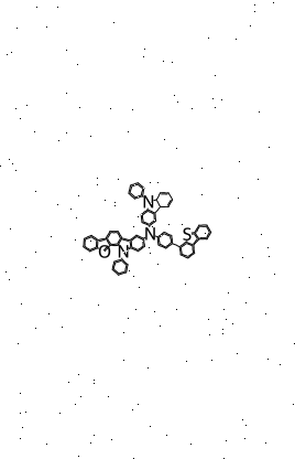 C1=CC2c3cc(N(c4ccc(-c5cccc6c5sc5ccccc56)cc4)c4ccc5c(c4)c4ccc6c7ccccc7oc6c4n5-c4ccccc4)ccc3N(c3ccccc3)C2C=C1